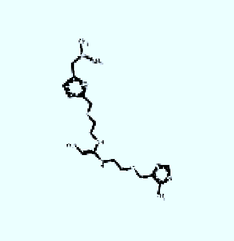 Cc1nc[nH]c1CSCCNC(=C[N+](=O)[O-])NCCSCc1ccc(CN(C)C)o1